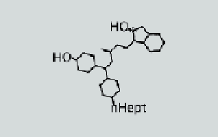 CCCCCCCC1CCC(C(CC(C)CCC2C3CCCCC3C[C@@H]2O)C2CCC(O)CC2)CC1